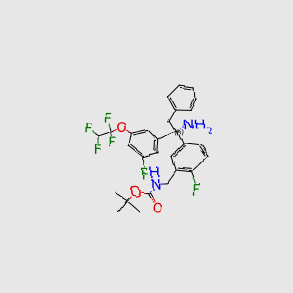 CC(C)(C)OC(=O)NCc1cc([C@](N)(Cc2ccccc2)c2cc(F)cc(OC(F)(F)C(F)F)c2)ccc1F